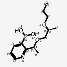 C[C@H](OC[C@H](C)OCCBr)c1ncccc1B(O)O